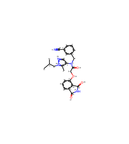 Cc1c(N(Cc2cccc(C#N)c2)C(=O)COc2cccc3c2C(=O)NC3=O)cnn1CC(C)C